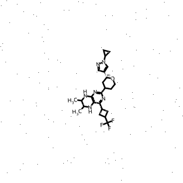 CC1Nc2nc(C3CCO[C@@H](c4cnn(C5CC5)c4)C3)nc(C3CC(C(F)(F)F)C3)c2NC1C